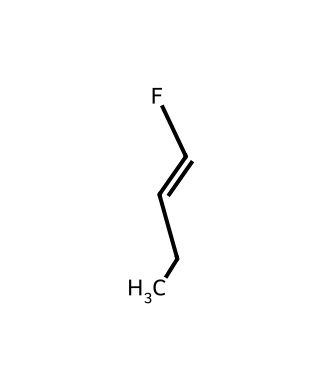 CC/C=C/F